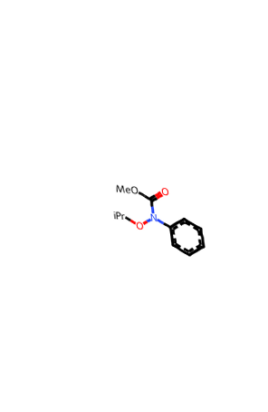 COC(=O)N(OC(C)C)c1ccccc1